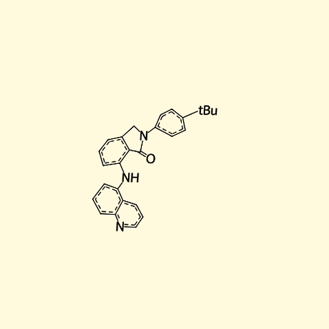 CC(C)(C)c1ccc(N2Cc3cccc(Nc4cccc5ncccc45)c3C2=O)cc1